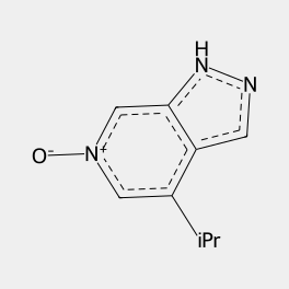 CC(C)c1c[n+]([O-])cc2[nH]ncc12